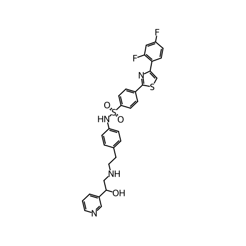 O=S(=O)(Nc1ccc(CCNCC(O)c2cccnc2)cc1)c1ccc(-c2nc(-c3ccc(F)cc3F)cs2)cc1